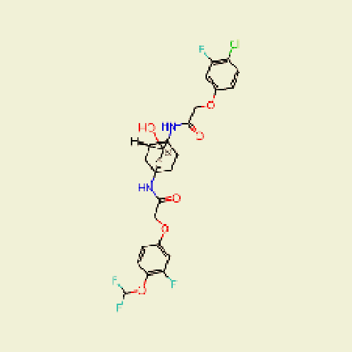 O=C(COc1ccc(OC(F)F)c(F)c1)NC12CCC(NC(=O)COc3ccc(Cl)c(F)c3)(CC1)[C@@H](O)C2